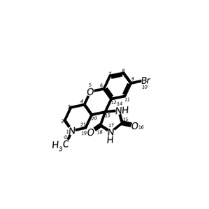 CN1CCC2Oc3ccc(Br)cc3C3(NC(=O)NC3=O)C2C1